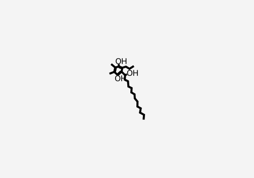 CCCCCCCCCCCCCC(O)c1c(O)c(C)c(C)c(O)c1CCC